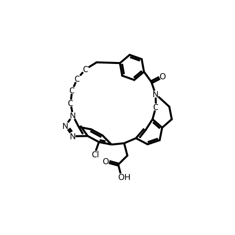 O=C(O)CC1c2ccc3c(c2)CN(CC3)C(=O)c2ccc(cc2)CCCCCn2nnc3c(Cl)c1ccc32